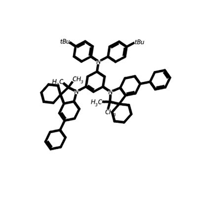 CC(C)(C)C1=CCC(N(C2=CC=C(C(C)(C)C)CC2)C2CC(N3C4CCC(C5CC=CCC5)=CC4C4(CCCCC4)C3(C)C)=CC(N3C4CCC(C5C=CC=CC5)C=C4C4(CCCCC4)C3(C)C)C2)C=C1